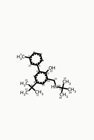 Cc1cccc(-c2cc(C(C)(C)C)cc(CNC(C)(C)C)c2O)c1